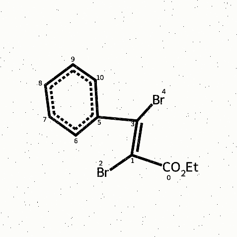 CCOC(=O)C(Br)=C(Br)c1ccccc1